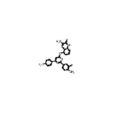 Nc1ccc(-c2nc(Oc3cccc4[nH]c(=O)c(N)nc34)cc(-c3ccc(C(F)(F)F)cc3)n2)cc1F